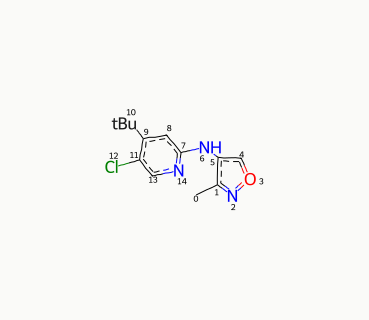 Cc1nocc1Nc1cc(C(C)(C)C)c(Cl)cn1